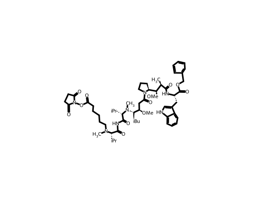 CC[C@H](C)[C@@H]([C@@H](CC(=O)N1CCC[C@H]1[C@H](OC)[C@@H](C)C(=O)N[C@@H](Cc1c[nH]c2ccccc12)C(=O)OCc1ccccc1)OC)N(C)[C@H](C(=O)NC(=O)[C@H](C(C)C)N(C)CCCCCC(=O)ON1C(=O)CCC1=O)C(C)C